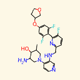 CC1CN(c2ccncc2NCc2ccc(F)c(-c3c(F)cc(OC4CCOC4)cc3F)n2)CC(N)C1O